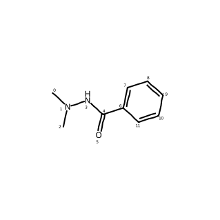 CN(C)NC(=O)c1cc[c]cc1